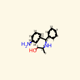 CC(CO)NC(c1ccccc1)c1cccc(N)c1